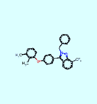 Cc1cccc(Oc2ccc(-c3c4cccc(C(F)(F)F)c4nn3Cc3ccccc3)cc2)c1C